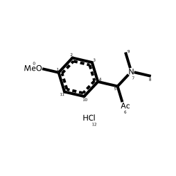 COc1ccc(C(C(C)=O)N(C)C)cc1.Cl